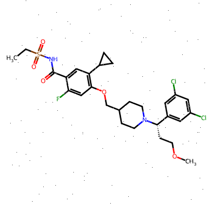 CCS(=O)(=O)NC(=O)c1cc(C2CC2)c(OCC2CCN([C@@H](CCOC)c3cc(Cl)cc(Cl)c3)CC2)cc1F